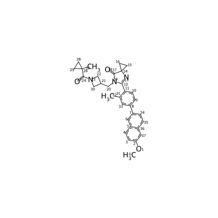 COc1ccc2cc(-c3ccc(C4=NC5(CC5)C(=O)N4CC4CN(C(=O)C5(C)CC5)C4)c(C)c3)ccc2c1